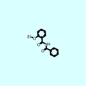 CCOc1ccccc1C(=O)NC(=O)c1ccccc1